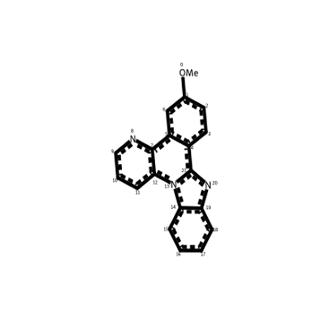 COc1ccc2c(c1)c1ncccc1n1c3ccccc3nc21